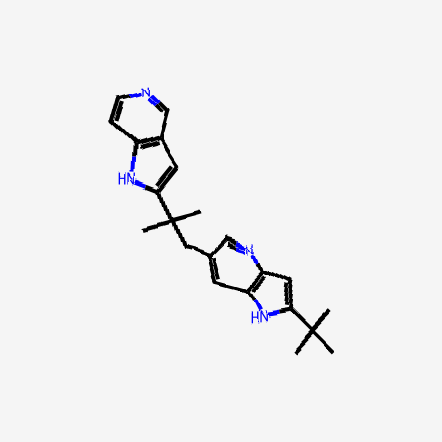 CC(C)(C)c1cc2ncc(CC(C)(C)c3cc4cnccc4[nH]3)cc2[nH]1